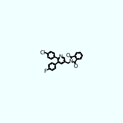 O=C1c2ccccc2C(=O)N1Cc1cnc(-c2ccc(Cl)cc2)c(-c2ccc(F)cc2)c1